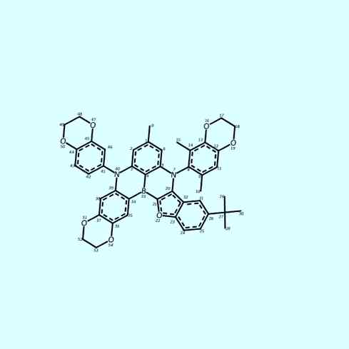 Cc1cc2c3c(c1)N(c1c(C)cc4c(c1C)OCCO4)c1c(oc4ccc(C(C)(C)C)cc14)B3c1cc3c(cc1N2c1ccc2c(c1)OCCO2)OCCO3